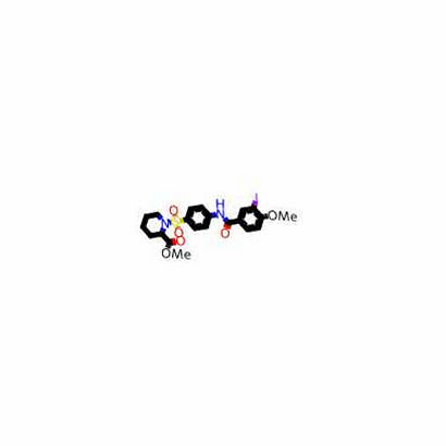 COC(=O)C1CCCCN1S(=O)(=O)c1ccc(NC(=O)c2ccc(OC)c(I)c2)cc1